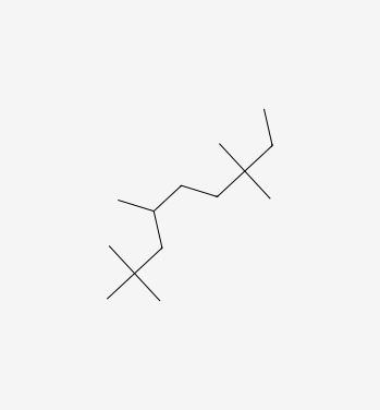 CCC(C)(C)CCC(C)CC(C)(C)C